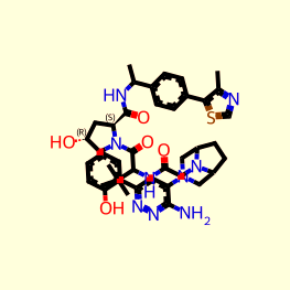 Cc1ncsc1-c1ccc(C(C)NC(=O)[C@@H]2C[C@@H](O)CN2C(=O)C(NC(=O)CN2C3CCC2CN(c2cc(-c4ccccc4O)nnc2N)C3)C(C)(C)C)cc1